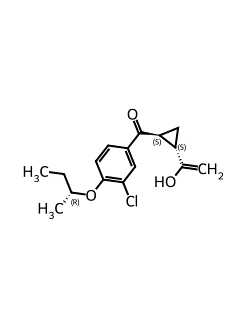 C=C(O)[C@H]1C[C@@H]1C(=O)c1ccc(O[C@H](C)CC)c(Cl)c1